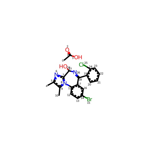 CC(=O)O.Cc1nc2n(c1C)-c1ccc(Br)cc1C(c1ccccc1Cl)=NC2O